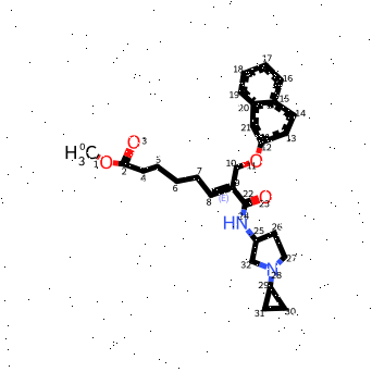 COC(=O)CCCC/C=C(\COc1ccc2ccccc2c1)C(=O)NC1CCN(C2CC2)C1